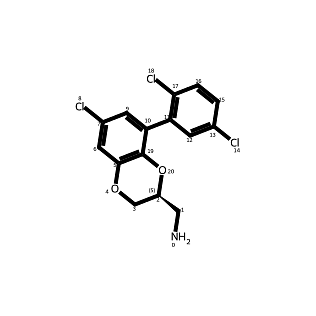 NC[C@H]1COc2cc(Cl)cc(-c3cc(Cl)ccc3Cl)c2O1